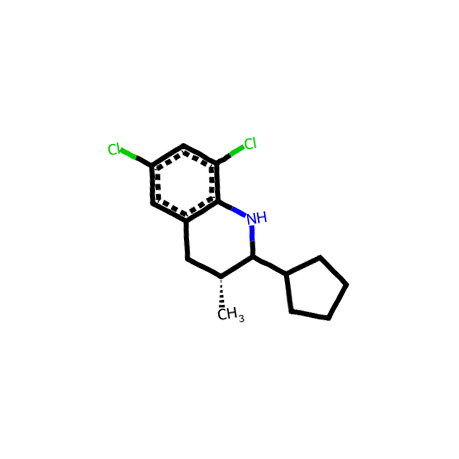 C[C@@H]1Cc2cc(Cl)cc(Cl)c2NC1C1CCCC1